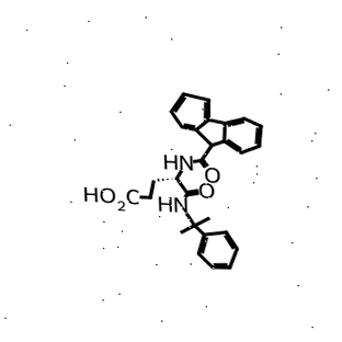 CC(C)(NC(=O)[C@H](CCC(=O)O)NC(=O)C1c2ccccc2-c2ccccc21)c1ccccc1